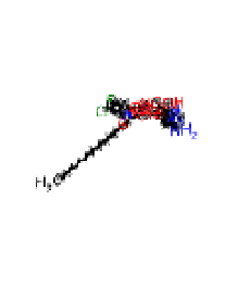 CCCCCCCCCCCCCCCCCCOC[C@H](COP(=O)(O)OC[C@H]1O[C@@](C#N)(c2ccc3c(N)ncnn23)[C@H](O)[C@@H]1O)N(Cc1ccc(F)c(Cl)c1)C(C)=O